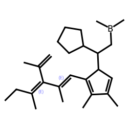 C=C(C)C(/C(C)=C/C1=C(C)C(C)=CC1C(CB(C)C)C1CCCC1)=C(/C)CC